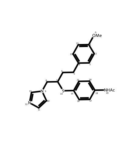 COc1ccc(CCC(Cn2ccnc2)Sc2ccc(NC(C)=O)cc2)cc1